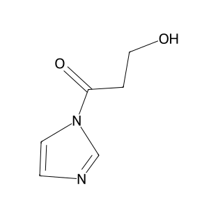 O=C(CCO)n1ccnc1